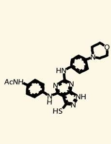 CC(=O)Nc1ccc(Nc2nc(Nc3ccc(N4CCOCC4)cc3)nc3[nH]nc(S)c23)cc1